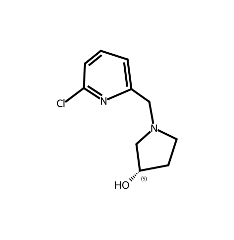 O[C@H]1CCN(Cc2cccc(Cl)n2)C1